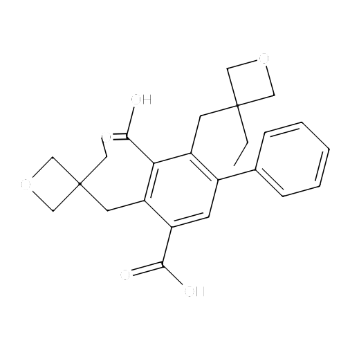 CCC1(Cc2c(C(=O)O)cc(-c3ccccc3)c(CC3(CC)COC3)c2C(=O)O)COC1